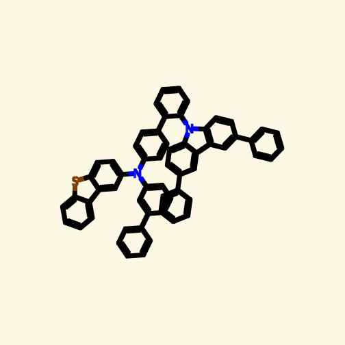 c1ccc(-c2cccc(N(c3ccc(-c4ccccc4-n4c5ccc(-c6ccccc6)cc5c5cc(-c6ccccc6)ccc54)cc3)c3ccc4sc5ccccc5c4c3)c2)cc1